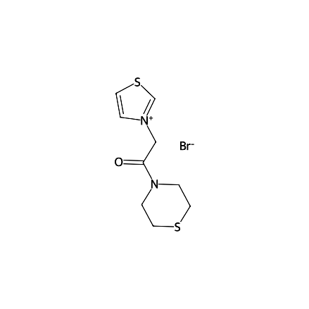 O=C(C[n+]1ccsc1)N1CCSCC1.[Br-]